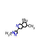 Cc1cc(C(C)(C)C)c2cnc(-c3cnn(C)c3)cc2c1